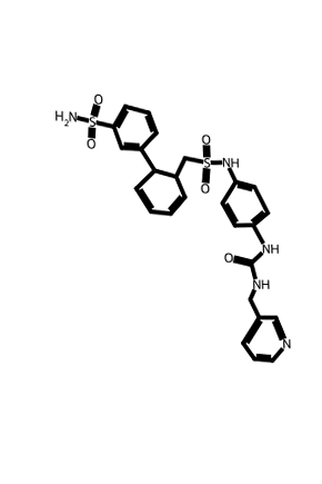 NS(=O)(=O)c1cccc(C2C=CC=CC2CS(=O)(=O)Nc2ccc(NC(=O)NCc3cccnc3)cc2)c1